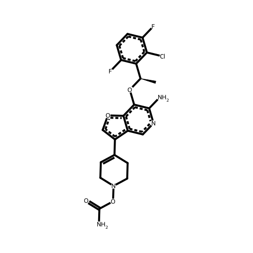 C[C@@H](Oc1c(N)ncc2c(C3=CCN(OC(N)=O)CC3)coc12)c1c(F)ccc(F)c1Cl